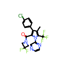 Cc1c(-c2ccc(Cl)cc2)c(C(=O)N2CC(F)(F)C2)n(-c2cnccn2)c1C(F)(F)F